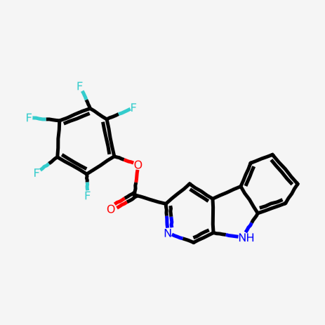 O=C(Oc1c(F)c(F)c(F)c(F)c1F)c1cc2c(cn1)[nH]c1ccccc12